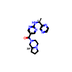 C[C@H](Nc1ncc(C(=O)N2CCN3CCC[C@H]3C2)cn1)c1cnccn1